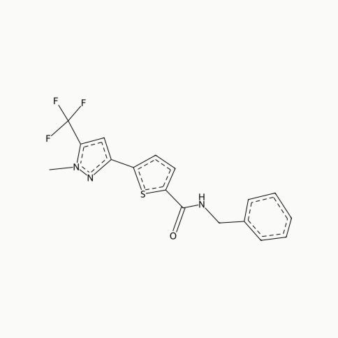 Cn1nc(-c2ccc(C(=O)NCc3ccccc3)s2)cc1C(F)(F)F